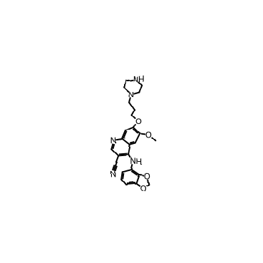 COc1cc2c(Nc3cccc4c3OCO4)c(C#N)cnc2cc1OCCCN1CCNCC1